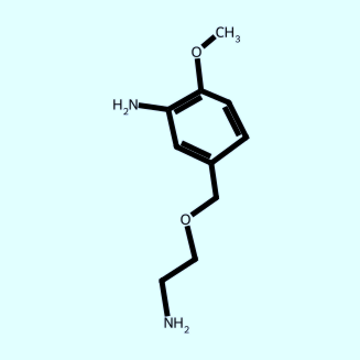 COc1ccc(COCCN)cc1N